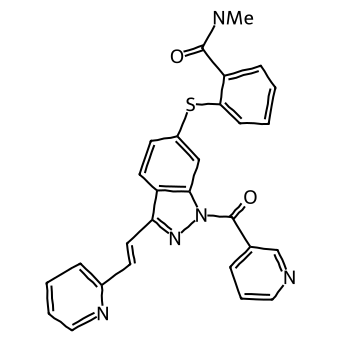 CNC(=O)c1ccccc1Sc1ccc2c(/C=C/c3ccccn3)nn(C(=O)c3cccnc3)c2c1